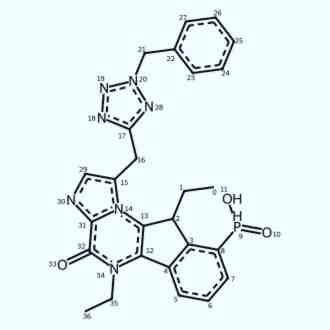 CCC1c2c(cccc2[PH](=O)O)-c2c1n1c(Cc3nnn(Cc4ccccc4)n3)cnc1c(=O)n2CC